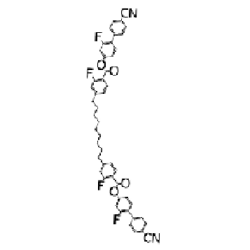 N#Cc1ccc(-c2ccc(OC(=O)c3ccc(CCCCCCCCCc4ccc(C(=O)Oc5ccc(-c6ccc(C#N)cc6)c(F)c5)c(F)c4)cc3F)cc2F)cc1